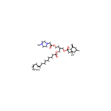 C=C1CC(C)CC(CC)(CC(=O)OCC(CCOC(=O)CN2CCN(C)CC2)COC(=O)CCCCCCC/C=C\C/C=C\CCCCC)C1